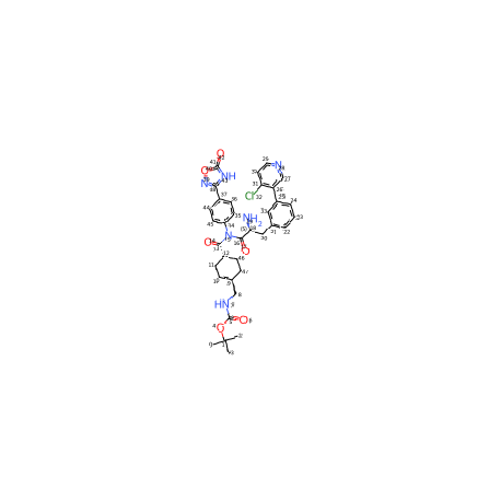 CC(C)(C)OC(=O)NC[C@H]1CC[C@H](C(=O)N(C(=O)[C@@H](N)Cc2cccc(-c3cnccc3Cl)c2)c2ccc(-c3noc(=O)[nH]3)cc2)CC1